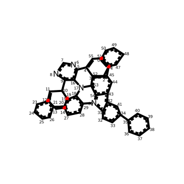 C1=CCCC(c2ncnc(C3C=CC=CC3)c2N2c3cc(-c4ccccc4)ccc3-n3c4ccc(-c5ccccc5)cc4c4cc(-c5ccccc5)cc2c43)=C1